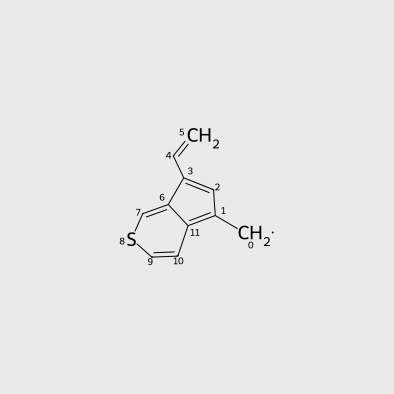 [CH2]c1cc(C=C)c2csccc1-2